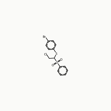 O=S(=O)(c1ccccc1)C(CCl)Sc1ccc(Br)cc1